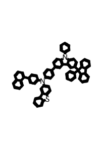 c1ccc(-n2c3ccc(-c4ccc(N(c5ccc(-c6cccc7ccccc67)cc5)c5ccc6sc7ccccc7c6c5)cc4)cc3c3cc(C4(c5ccccc5)c5ccccc5-c5ccccc54)ccc32)cc1